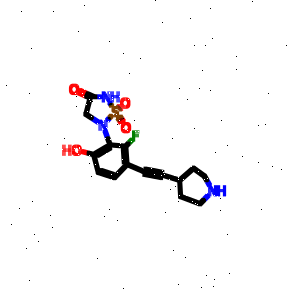 O=C1CN(c2c(O)ccc(C#CC3CCNCC3)c2F)S(=O)(=O)N1